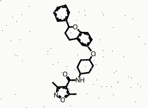 Cc1noc(C)c1C(=O)NC1CCC(Oc2ccc3c(c2)CCC(c2ccccc2)O3)CC1